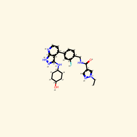 CCn1cc(C(=O)NCc2ccc(-c3ccnc4[nH]nc(NC5CCC(O)CC5)c34)cc2F)cn1